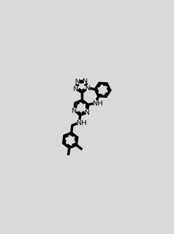 Cc1ccc(CNc2ncc3c(n2)Nc2ccccc2-n2nnnc2-3)cc1C